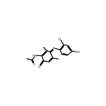 CC(=O)NC1=C(C)C(=Nc2ccc(O)cc2Cl)C(C)=CC1=O